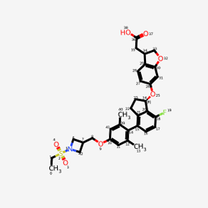 CCS(=O)(=O)N1CC(COc2cc(C)c(-c3ccc(F)c4c3CC[C@H]4Oc3ccc4c(c3)OCC4CC(=O)O)c(C)c2)C1